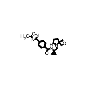 Cc1nc(-c2ccc(C(=O)NC3(CN4CCCC45COC5)CC3)cc2)no1